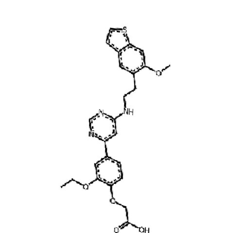 CCOc1cc(-c2cc(NCCc3cc4ccsc4cc3OC)ncn2)ccc1OCC(=O)O